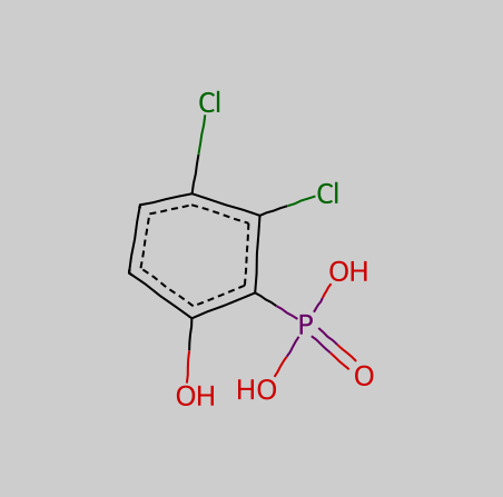 O=P(O)(O)c1c(O)ccc(Cl)c1Cl